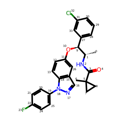 C[C@H](NC(=O)C1(C)CC1)[C@@H](Oc1ccc2c(cnn2-c2ccc(F)cc2)c1)c1cccc(Cl)c1